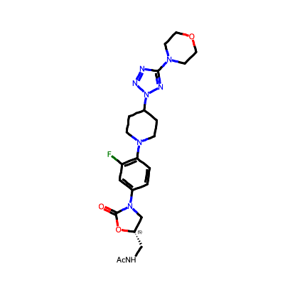 CC(=O)NC[C@H]1CN(c2ccc(N3CCC(n4nnc(N5CCOCC5)n4)CC3)c(F)c2)C(=O)O1